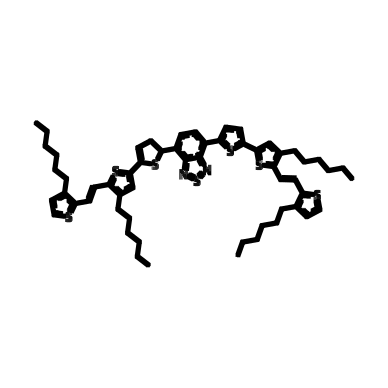 CCCCCCc1ccsc1/C=C/c1sc(C2=CCC(c3ccc(-c4ccc(-c5cc(CCCCCC)c(/C=C/c6sccc6CCCCCC)s5)s4)c4nsnc34)S2)cc1CCCCCC